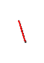 COS(=S)(=S)SSSSSSSSSSSSSSSSSSSSSSSSSSSSSSSSSSSSSSSSSSSSSSSSSSSSSSSSSSSSSSSSSSSSSSSSSSSSSSSSSSSS